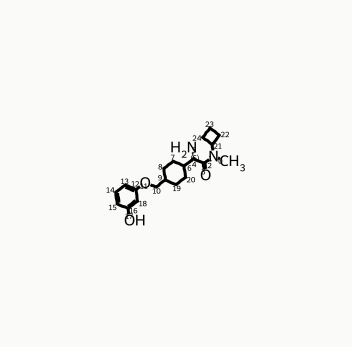 CN(C(=O)[C@@H](N)C1CCC(COc2cccc(O)c2)CC1)C1CCC1